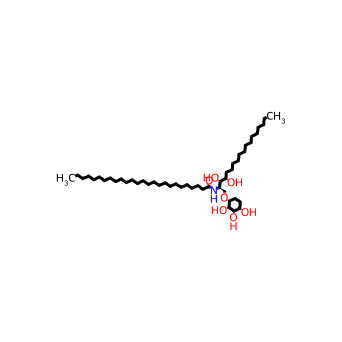 CCCCCCCCCCCCCCCCCCCCCCCCCC(=O)N[C@H](CO[C@H]1CC[C@H](O)[C@H](O)[C@H]1O)[C@@H](O)[C@@H](O)CCCCCCCCCCCCCC